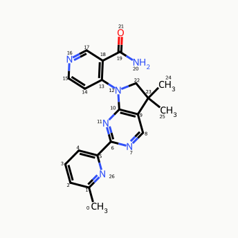 Cc1cccc(-c2ncc3c(n2)N(c2ccncc2C(N)=O)CC3(C)C)n1